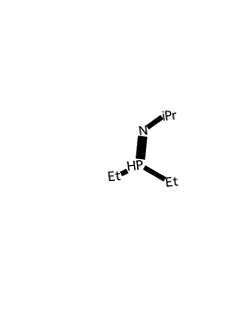 CC[PH](CC)=NC(C)C